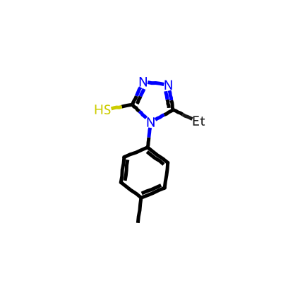 CCc1nnc(S)n1-c1ccc(C)cc1